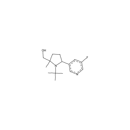 CC(C)(C)N1C(c2cncc(F)c2)CCC1(C)CO